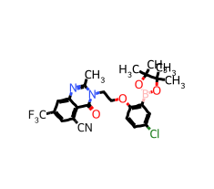 Cc1nc2cc(C(F)(F)F)cc(C#N)c2c(=O)n1CCOc1ccc(Cl)cc1B1OC(C)(C)C(C)(C)O1